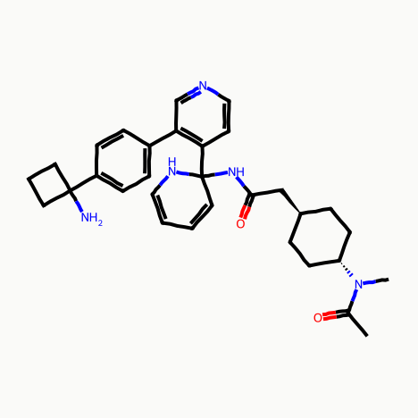 CC(=O)N(C)[C@H]1CC[C@H](CC(=O)NC2(c3ccncc3-c3ccc(C4(N)CCC4)cc3)C=CC=CN2)CC1